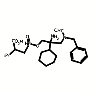 CC(C)C(C[PH](=O)OCC(N)(CN(C=O)Cc1ccccc1)C1CCCCC1)C(=O)O